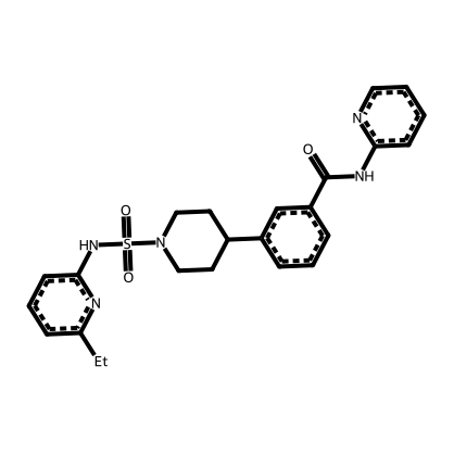 CCc1cccc(NS(=O)(=O)N2CCC(c3cccc(C(=O)Nc4ccccn4)c3)CC2)n1